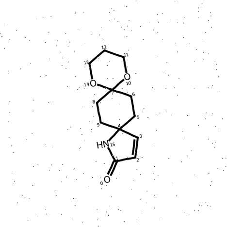 O=C1C=CC2(CCC3(CC2)OCCCO3)N1